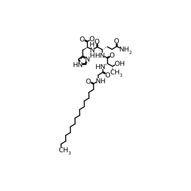 CCCCCCCCCCCCCCCC(=O)NCC(=O)N[C@H](C(=O)N[C@@H](CCC(N)=O)C(=O)N[C@@H](Cc1c[nH]cn1)C(=O)O)[C@@H](C)O